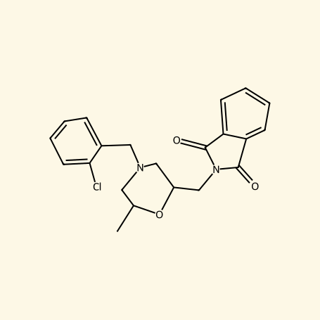 CC1CN(Cc2ccccc2Cl)CC(CN2C(=O)c3ccccc3C2=O)O1